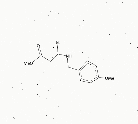 CCC(CC(=O)OC)NCc1ccc(OC)cc1